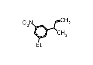 C=C[C](C)c1cc(CC)cc([N+](=O)[O-])c1